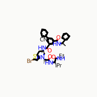 CCNC(=O)[C@@H](NC(=O)[C@H](C)NC[C@H](Cc1ccc(Br)s1)NC(=O)c1cc(C(=O)N[C@H](C)c2ccccc2)cc(-c2ccccc2C#N)c1)C(C)C